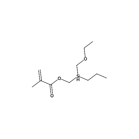 C=C(C)C(=O)OC[SiH](CCC)COCC